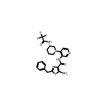 Nc1sc(Cc2ccccc2)nc1C(=O)Nc1cnccc1N1CCC[C@H](NC(=O)C(F)(F)F)C1